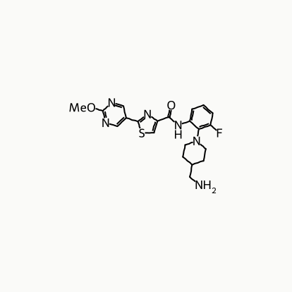 COc1ncc(-c2nc(C(=O)Nc3cccc(F)c3N3CCC(CN)CC3)cs2)cn1